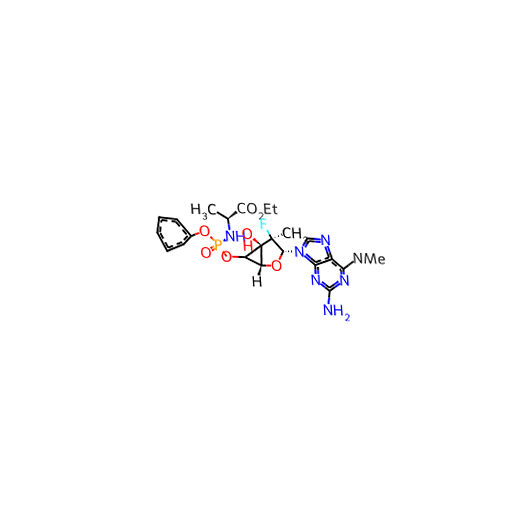 CCOC(=O)[C@H](C)N[P@@](=O)(Oc1ccccc1)OC1[C@H]2O[C@@H](n3cnc4c(NC)nc(N)nc43)[C@](C)(F)[C@@]12O